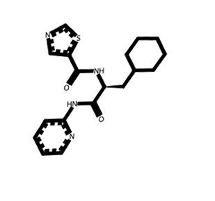 O=C(N[C@@H](CC1CCCCC1)C(=O)Nc1ccccn1)c1cncs1